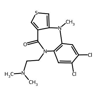 CN(C)CCN1C(=O)c2cscc2N(C)c2cc(Cl)c(Cl)cc21